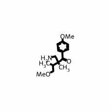 COCC(C)C(C)(CN)C(=O)c1ccc(OC)cc1